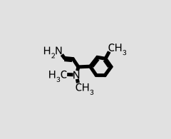 CC1=CCCC(C(C=CN)N(C)C)=C1